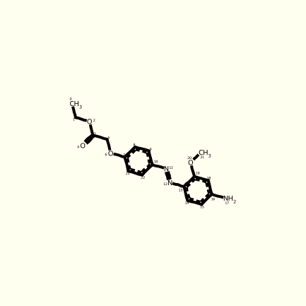 CCOC(=O)COc1ccc(/N=N/c2ccc(N)cc2OC)cc1